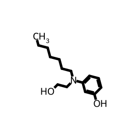 CCCCCCCN(CCO)c1cccc(O)c1